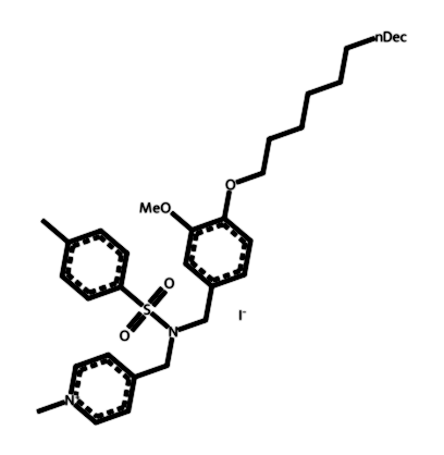 CCCCCCCCCCCCCCCCOc1ccc(CN(Cc2cc[n+](C)cc2)S(=O)(=O)c2ccc(C)cc2)cc1OC.[I-]